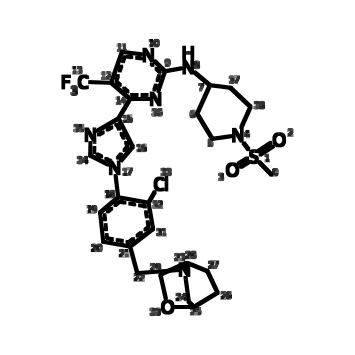 CS(=O)(=O)N1CCC(Nc2ncc(C(F)(F)F)c(-c3cn(-c4ccc(CN5CC6CCC5CO6)cc4Cl)cn3)n2)CC1